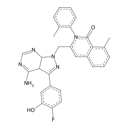 Cc1ccccc1-n1c(CN2N=C(c3ccc(F)c(O)c3)C3C(N)=NC=NC32)cc2cccc(C)c2c1=O